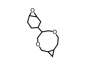 C1CC2CC2COCC(C2CCC3OC3C2)CO1